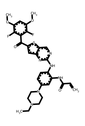 C=CC(=O)Nc1cc(N2CCN(CC)CC2)ccc1Nc1ncc2sc(C(=O)c3c(F)c(OC)cc(OC)c3F)cc2n1